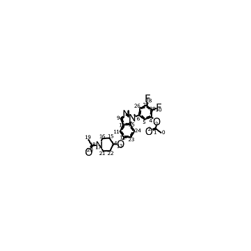 CC(=O)Oc1cc(-n2ncc3cc(OC4CCN(C(C)=O)CC4)ccc32)cc(F)c1F